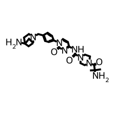 CC(C)(N)C(=O)N1CCN(C(=O)Nc2ccn(-c3ccc(CN4CCC5(N)CC4C5)cc3)c(=O)n2)CC1